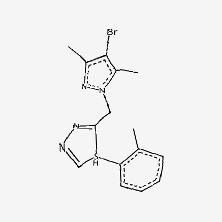 Cc1ccccc1[SH]1C=NN=C1Cn1nc(C)c(Br)c1C